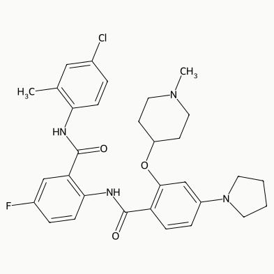 Cc1cc(Cl)ccc1NC(=O)c1cc(F)ccc1NC(=O)c1ccc(N2CCCC2)cc1OC1CCN(C)CC1